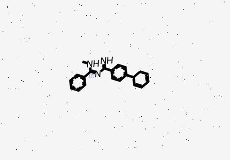 CN/C(=N\C(=N)c1ccc(C2C=CC=CC2)cc1)c1ccccc1